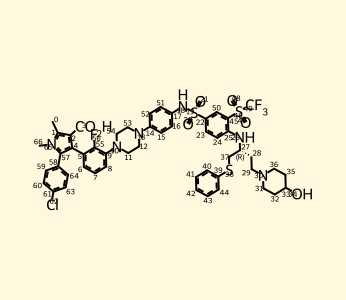 Cc1c(C(=O)O)c(-c2cccc(N3CCN(c4ccc(NS(=O)(=O)c5ccc(N[C@H](CCN6CCC(O)CC6)CSc6ccccc6)c(S(=O)(=O)C(F)(F)F)c5)cc4)CC3)c2F)c(-c2ccc(Cl)cc2)n1C